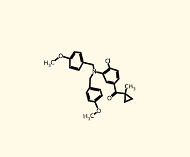 COc1ccc(CN(Cc2ccc(OC)cc2)c2cc(C(=O)C3(C)CC3)ccc2Cl)cc1